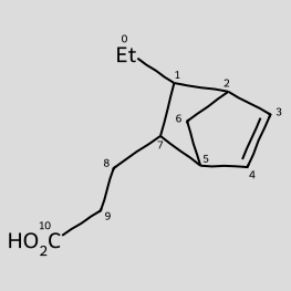 CCC1C2C=CC(C2)C1CCC(=O)O